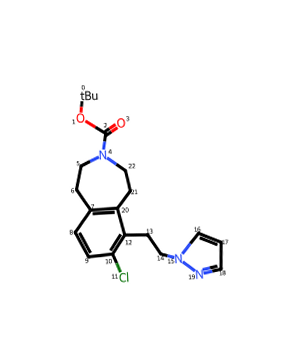 CC(C)(C)OC(=O)N1CCc2ccc(Cl)c(CCn3cccn3)c2CC1